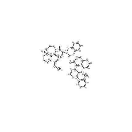 COC(=O)[C@@H]1CCC[C@@H]2SCC[C@H](NC(=O)[C@H](CC[C@H](Cc3ccccc3)C(=O)N[C@H]3C=CCN(c4ccccc4C)C3=O)Cc3ccccc3)C(=O)N21